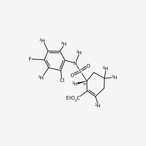 [2H]C1=C(C(=O)OCC)[C@]([2H])(S(=O)(=O)N([2H])c2c([2H])c([2H])c(F)c([2H])c2Cl)CC([2H])([2H])C1